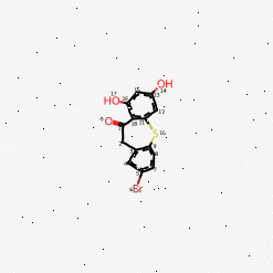 O=C1Cc2cc(Br)ccc2Sc2cc(O)cc(O)c21